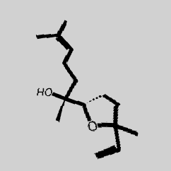 C=CC1(C)CC[C@@H]([C@](C)(O)CCC=C(C)C)O1